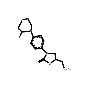 CC(=O)NCC1CN(c2ccc(N3CCOCC3F)cc2)C(=O)O1